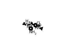 CC(C)CNc1nc2cc(N)ccc2n2c(-c3ccc(C(=O)NC4CC4)c(Cl)c3)cnc12